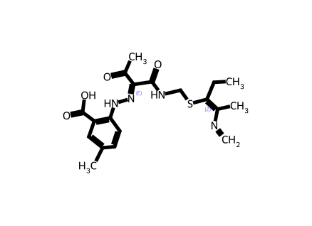 C=N/C(C)=C(/CC)SCNC(=O)/C(=N/Nc1ccc(C)cc1C(=O)O)C(C)=O